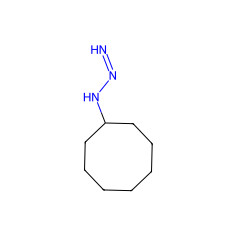 N=NNC1CCCCCCC1